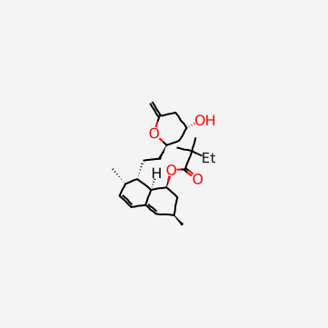 C=C1C[C@H](O)C[C@@H](CC[C@@H]2[C@@H]3C(=C[C@H](C)C[C@@H]3OC(=O)C(C)(C)CC)C=C[C@@H]2C)O1